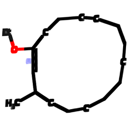 CCO/C1=C/C(C)CCCCCCCCCCCC1